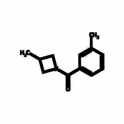 Cc1cccc(C(=O)N2CC(C)C2)c1